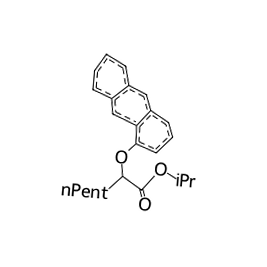 CCCCCC(Oc1cccc2cc3ccccc3cc12)C(=O)OC(C)C